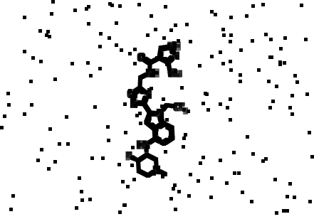 CN1CC[C@@H](F)[C@@H](Nc2cccc3c2cc(-c2noc(CNC(=O)c4c[nH]nc4C(C)(C)C)n2)n3CC(F)(F)F)C1